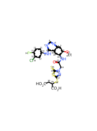 CCOc1cc2ncnc(Nc3ccc(F)c(Cl)c3)c2cc1NC(=O)Cn1nc(SC(CC(=O)O)C(=O)O)sc1=S